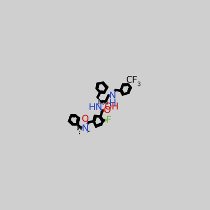 C[C@H](c1ccccc1)N(C)C(=O)c1ccc(F)c(C(=O)N[C@@H](Cc2ccccc2)[C@H](O)CNCc2cccc(C(F)(F)F)c2)c1